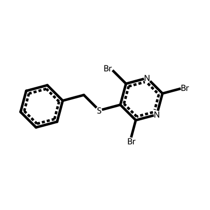 Brc1nc(Br)c(SCc2ccccc2)c(Br)n1